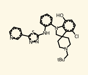 CC(C)(C)CN1CCC2(CC1)CN(c1ccccc1Nc1nnc(-c3cccnc3)s1)c1c(O)ccc(Cl)c12